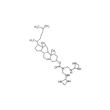 CC(C)CCCC(C)C1CCC2C3CC=C4CC(OC(=O)N(CNC5NCN5)CNC5NCN5)CCC4(C)C3CCC12C